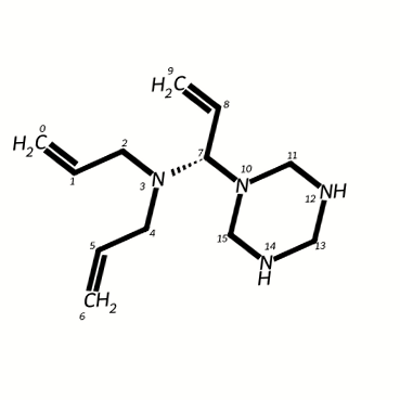 C=CCN(CC=C)[C@H](C=C)N1CNCNC1